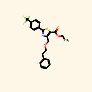 CCOC(=O)c1sc(-c2ccc(C(F)(F)F)cc2)nc1COCCc1ccccc1